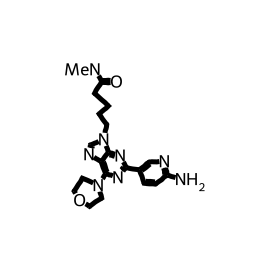 CNC(=O)CCCCn1cnc2c(N3CCOCC3)nc(-c3ccc(N)nc3)nc21